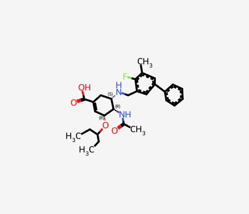 CCC(CC)O[C@@H]1C=C(C(=O)O)C[C@H](NCc2cc(-c3ccccc3)cc(C)c2F)[C@H]1NC(C)=O